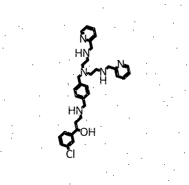 OC(CCNCc1ccc(CN(CCNCc2ccccn2)CCNCc2ccccn2)cc1)c1cccc(Cl)c1